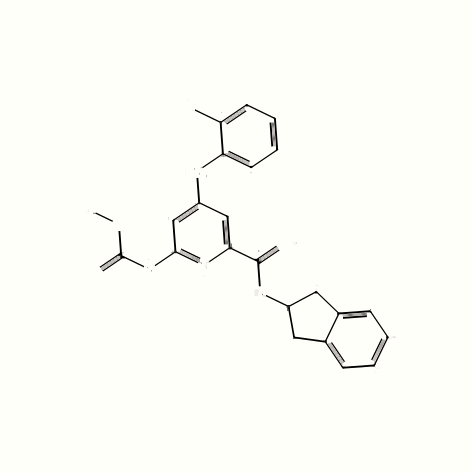 CC(C)(C)OC(=O)Nc1cc(Nc2ccccc2Cl)cc(C(=O)NC2Cc3ccccc3C2)n1